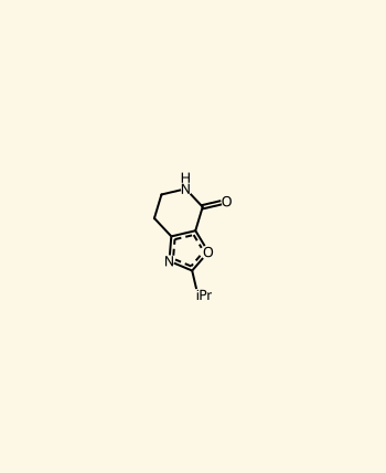 CC(C)c1nc2c(o1)C(=O)NCC2